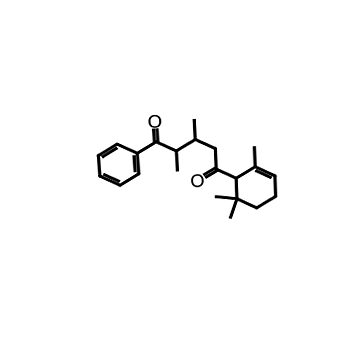 CC1=CCCC(C)(C)C1C(=O)CC(C)C(C)C(=O)c1ccccc1